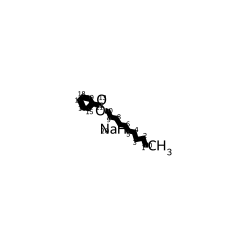 CCCCCCCCCCCOC(=O)c1ccccc1.[NaH]